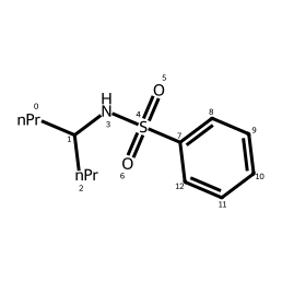 CCCC(CCC)NS(=O)(=O)c1ccccc1